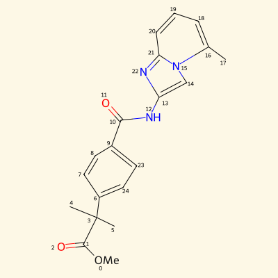 COC(=O)C(C)(C)c1ccc(C(=O)Nc2cn3c(C)cccc3n2)cc1